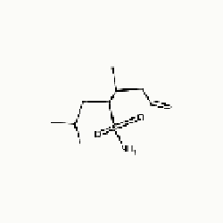 C=CCC(C)C(CC(C)C)S(N)(=O)=O